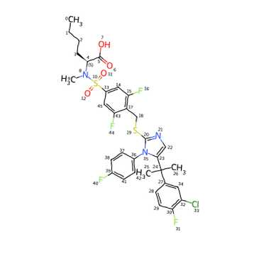 CCCC[C@@H](C(=O)O)N(C)S(=O)(=O)c1cc(F)c(CSc2ncc(C(C)(C)c3ccc(F)c(Cl)c3)n2-c2ccc(F)cc2)c(F)c1